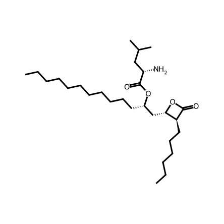 CCCCCCCCCCC[C@@H](C[C@@H]1OC(=O)[C@H]1CCCCCC)OC(=O)[C@@H](N)CC(C)C